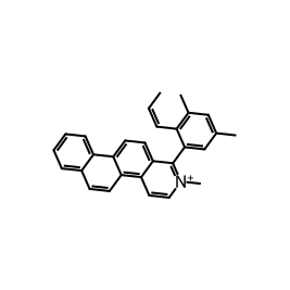 C/C=C\c1c(C)cc(C)cc1-c1c2ccc3c4ccccc4ccc3c2cc[n+]1C